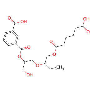 CCC(COC(=O)CCCCC(=O)O)OCC(CO)OC(=O)c1cccc(C(=O)O)c1